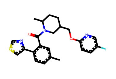 Cc1ccc(-c2cscn2)c(C(=O)N2CC(COc3ccc(F)cn3)CCC2C)c1